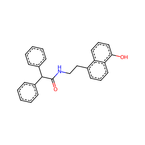 O=C(NCCc1cccc2c(O)cccc12)C(c1ccccc1)c1ccccc1